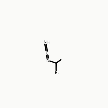 CCC(C)N=C=N